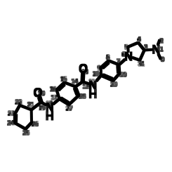 CN(C)C1CCN(c2ccc(NC(=O)c3ccc(NC(=O)C4CC=CCC4)cc3)cc2)C1